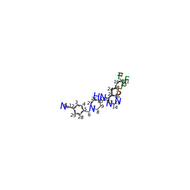 N#Cc1ccc(CN2CCC(Nc3ncnc4sc(CC(F)(F)F)cc34)CC2)cc1